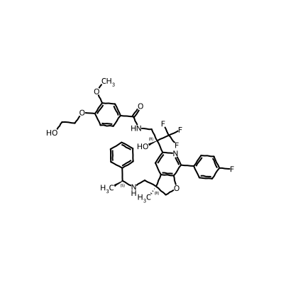 COc1cc(C(=O)NC[C@@](O)(c2cc3c(c(-c4ccc(F)cc4)n2)OC[C@@]3(C)CN[C@@H](C)c2ccccc2)C(F)(F)F)ccc1OCCO